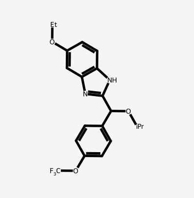 CCOc1ccc2[nH]c(C(OC(C)C)c3ccc(OC(F)(F)F)cc3)nc2c1